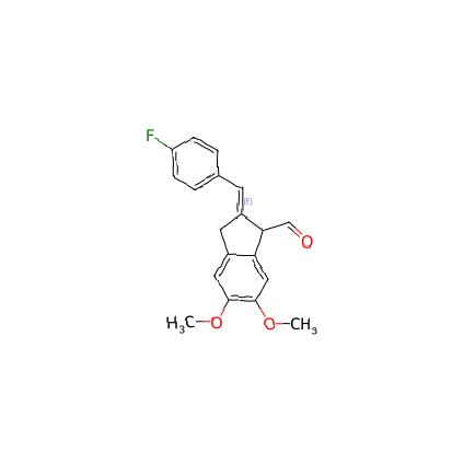 COc1cc2c(cc1OC)C(C=O)/C(=C/c1ccc(F)cc1)C2